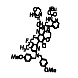 COc1ccc(CN(Cc2ccc(OC)cc2)c2cc(C)c(C(F)(F)F)c(-c3c(Cl)c4c5c(nc(OC[C@@H]6C[C@@H]7CN6CCO7)nc5c3F)N([C@H](C)c3cccnc3NC(=O)OC(C)(C)C)CCO4)n2)cc1